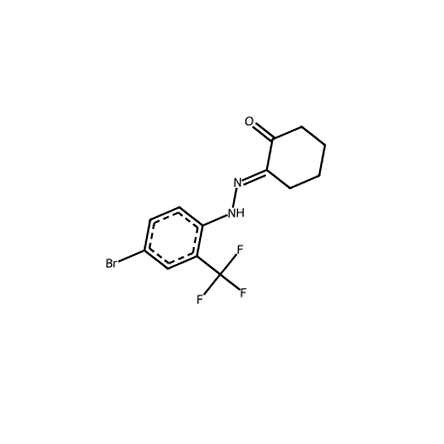 O=C1CCCC/C1=N\Nc1ccc(Br)cc1C(F)(F)F